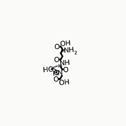 N[C@@H](CCC(=O)N[C@@H](CS(=O)O)C(=O)NCC(=O)O)C(=O)O